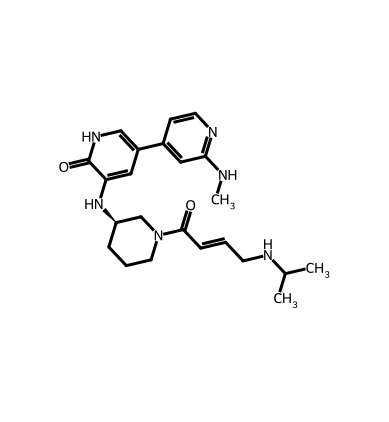 CNc1cc(-c2c[nH]c(=O)c(N[C@@H]3CCCN(C(=O)/C=C/CNC(C)C)C3)c2)ccn1